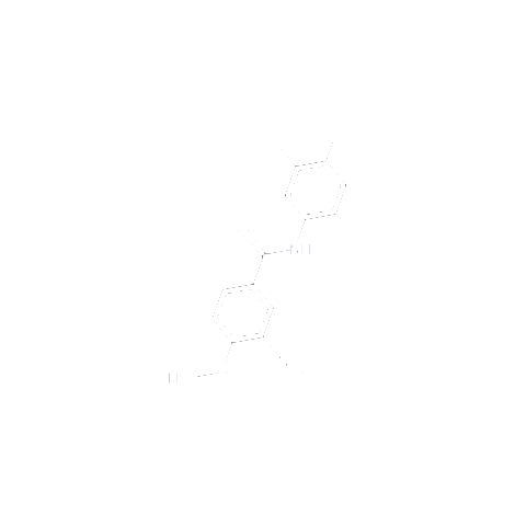 COc1ccc(C(=O)Nc2ccc(Cl)c(Cl)c2)cc1N